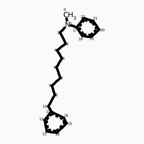 CN(CCCCCCCCCc1ccccc1)c1ccccc1